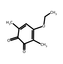 CCOC1=C(C)C(=O)C(=O)C(C)=C1